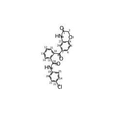 O=C1COc2ccc(C(=O)c3ccccc3C(=O)Nc3ccc(Cl)cc3)cc2N1